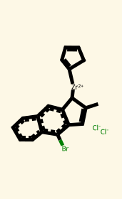 CC1=Cc2c(cc3ccccc3c2Br)[CH]1[Zr+2][C]1=CC=CC1.[Cl-].[Cl-]